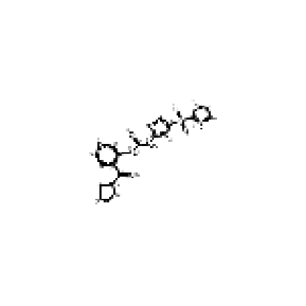 O=C(Nc1ncc(S(=O)(=O)c2ncc[nH]2)s1)Nc1cnccc1C(=O)C1CCCC1